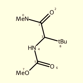 CNC(=O)C(NC(=O)OC)C(C)(C)C